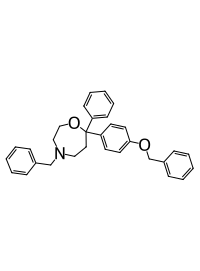 c1ccc(COc2ccc(C3(c4ccccc4)CCN(Cc4ccccc4)CCO3)cc2)cc1